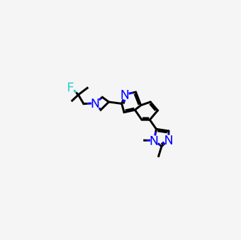 Cc1ncc(-c2ccc3cnc(C4CN(CC(C)(C)F)C4)cc3c2)n1C